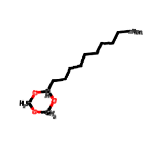 CCCCCCCCCCCCCCCCCC[SiH]1O[SiH2]O[SiH2]O1